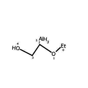 CCOCCO.[AlH3]